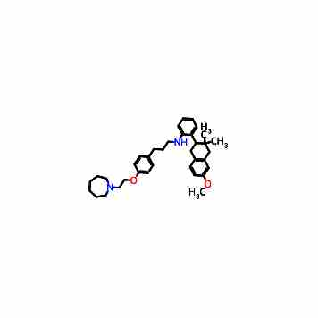 COc1ccc2c(c1)CC(C)(C)C(c1ccccc1NCCCc1ccc(OCCN3CCCCCC3)cc1)C2